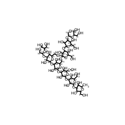 CC1OC(CO)C(O)C(OC2OC(CO)C(O)C(OC3OC(CO)C(O)C(OC4OC(COC5OC(CO)C(O)C(OC6OC(CO)C(O)C(OC(CO)OC(CO)CO)C6O)C5O)C(O)C(OC5OC(CO)C(O)C(OC(CO)OC(CO)CO)C5O)C4O)C3O)C2O)C1O